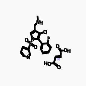 CNCc1cn(S(=O)(=O)c2cccnc2)c(-c2ccccc2F)c1Cl.O=C(O)/C=C/C(=O)O